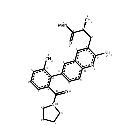 CNC(=O)[C@@H](C)Cc1cc2cc(-c3c(C)cccc3C(=O)N3CCCC3)ccc2nc1N